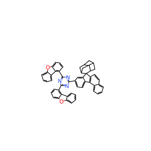 c1ccc2c3c(ccc2c1)C1(c2cc(-c4nc(-c5cccc6oc7ccccc7c56)nc(-c5cccc6oc7ccccc7c56)n4)ccc2-3)C2CC3CC(C2)CC1C3